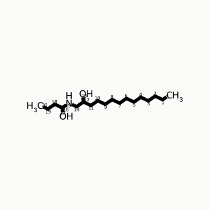 CCCCCCCCCCCCC(O)CNC(O)CCC